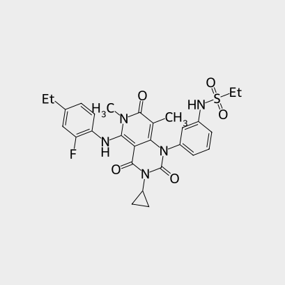 CCc1ccc(Nc2c3c(=O)n(C4CC4)c(=O)n(-c4cccc(NS(=O)(=O)CC)c4)c3c(C)c(=O)n2C)c(F)c1